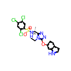 CCn1c(Oc2ccc3cc[nH]c3c2)nnc1[C@@H](C)NS(=O)(=O)c1cc(Cl)c(Cl)cc1Cl